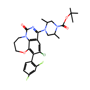 CC1CN(c2nc(=O)n3c4c(c(-c5ccc(F)cc5F)c(Cl)cc24)OCCC3)C(C)CN1C(=O)OC(C)(C)C